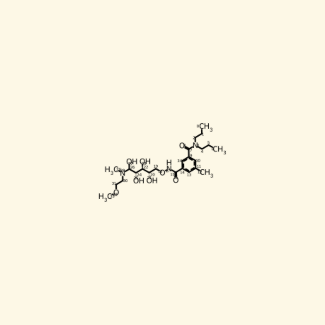 CCCN(CCC)C(=O)c1cc(C)cc(C(=O)NOC[C@H](O)[C@H](O)[C@H](O)C(O)N(C)CCOC)c1